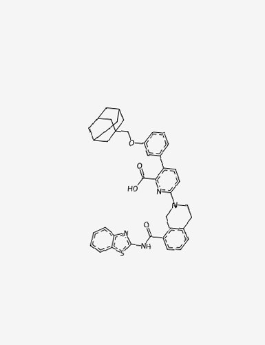 O=C(Nc1nc2ccccc2s1)c1cccc2c1CN(c1ccc(-c3cccc(OCC45CC6CC(CC(C6)C4)C5)c3)c(C(=O)O)n1)CC2